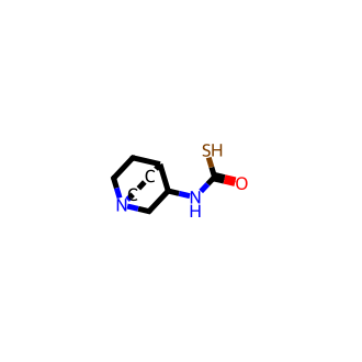 O=C(S)NC1CN2CCC1CC2